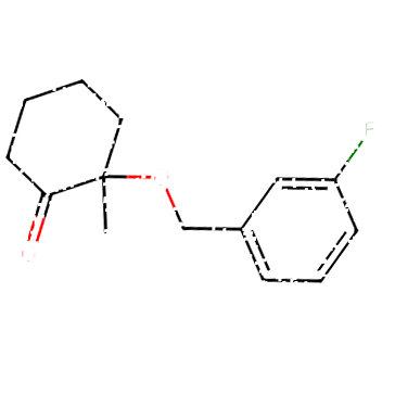 CC1(OCc2cccc(F)c2)CCCCC1=O